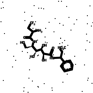 NC(CC(F)(F)F)C(=O)N[C@@H](CO)[C@@H](O)[C@@H](O)[C@H](O)C(=O)NC(CC(=O)O)c1ccccc1